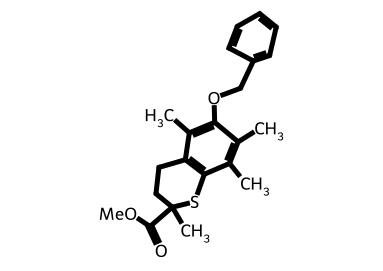 COC(=O)C1(C)CCc2c(C)c(OCc3ccccc3)c(C)c(C)c2S1